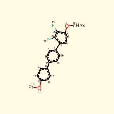 CCCCCCOc1ccc(-c2ccc(-c3ccc(OCC)cc3)cc2)c(F)c1F